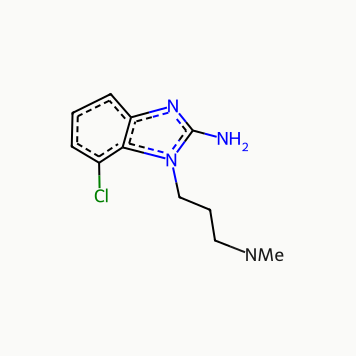 CNCCCn1c(N)nc2cccc(Cl)c21